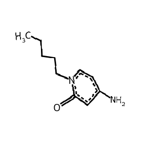 CCCCCn1ccc(N)cc1=O